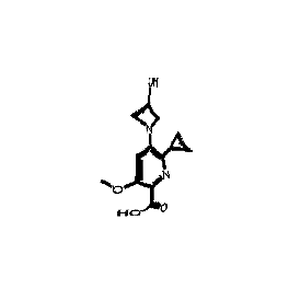 COc1cc(N2CC(O)C2)c(C2CC2)nc1C(=O)O